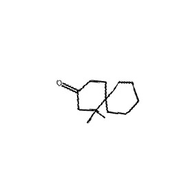 CC1(C)CC(=O)CCC12CCCCC2